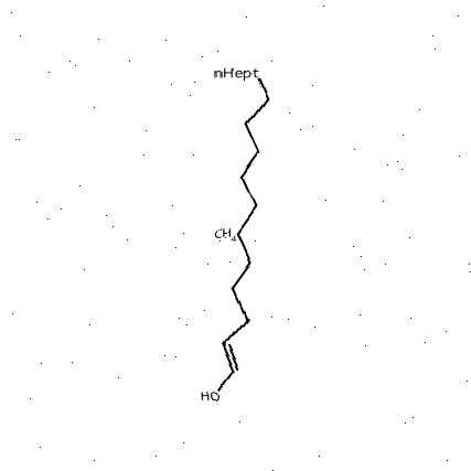 C.CCCCCCCCCCCCCCCCC=CO